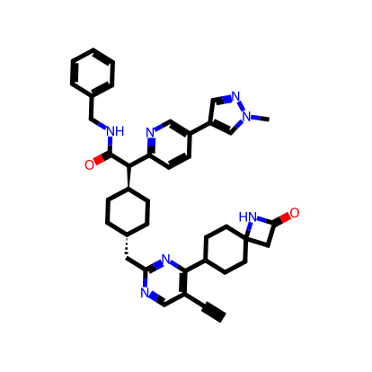 C#Cc1cnc(C[C@H]2CC[C@H](C(C(=O)NCc3ccccc3)c3ccc(-c4cnn(C)c4)cn3)CC2)nc1C1CCC2(CC1)CC(=O)N2